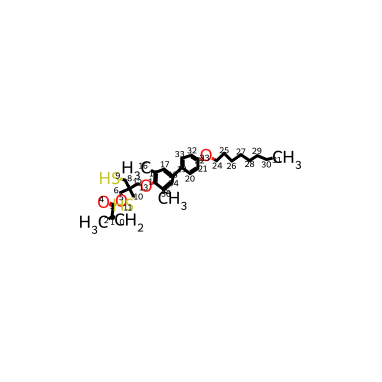 C=C(C)C(=O)OCC(CS)(CS)COc1c(C)cc(-c2ccc(OCCCCCCCC)cc2)cc1C